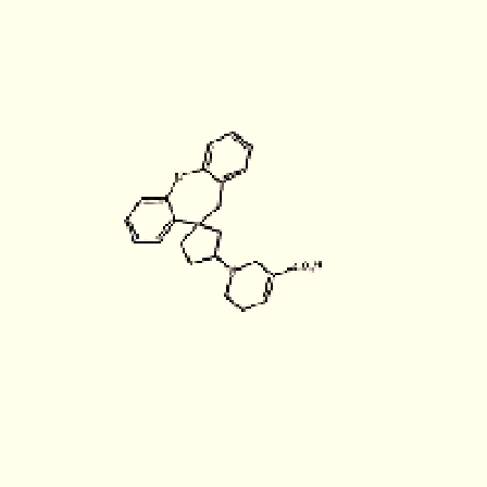 O=C(O)C1=CCCN(C2CCC3(Cc4ccccc4Oc4ccccc43)C2)C1